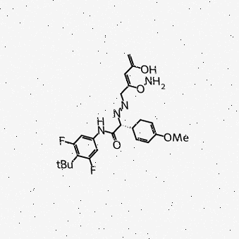 C=C(O)/C=C(/C/N=N/[C@@H](C(=O)Nc1cc(F)c(C(C)(C)C)c(F)c1)C1C=CC(OC)=CC1)ON